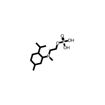 CC1CCC(C(C)C)C(N(C)CCOP(=O)(O)O)C1